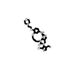 O=C1N2C/C=C\COc3cc(ccc3OCCN3CCOCC3)Nc3ncc(c2n3)CN1c1c(CF)csc1Cl